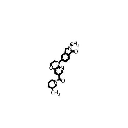 C[C@H]1CCCN(C(=O)c2cnc3c(c2)OCCN3c2ccc3c(c2)CN(C)C3=O)C1